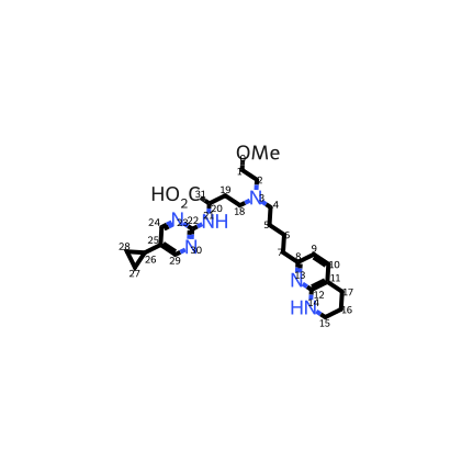 COCCN(CCCCc1ccc2c(n1)NCCC2)CCC(Nc1ncc(C2CC2)cn1)C(=O)O